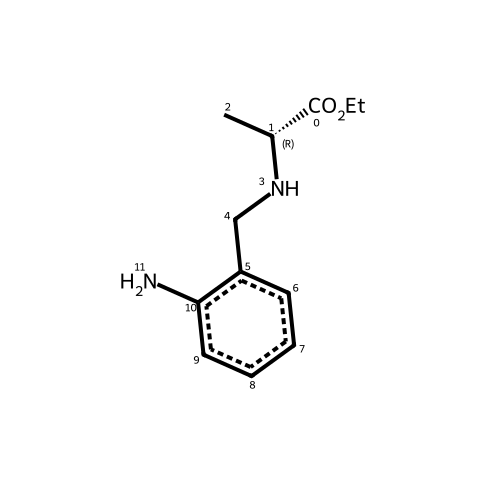 CCOC(=O)[C@@H](C)NCc1ccccc1N